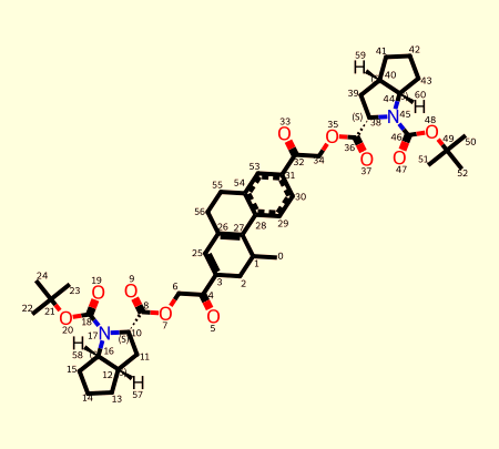 CC1CC(C(=O)COC(=O)[C@@H]2C[C@@H]3CCC[C@@H]3N2C(=O)OC(C)(C)C)=CC2=C1c1ccc(C(=O)COC(=O)[C@@H]3C[C@@H]4CCC[C@@H]4N3C(=O)OC(C)(C)C)cc1CC2